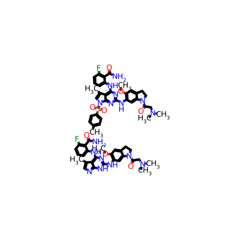 COc1cc2c(cc1Nc1nc(Nc3cccc(F)c3C(N)=O)c3c(C)cn(S(=O)(=O)c4ccc(C)cc4)c3n1)N(C(=O)CN(C)C)CC2.COc1cc2c(cc1Nc1nc(Nc3cccc(F)c3C(N)=O)c3c(C)cnc-3[nH]1)N(C(=O)CN(C)C)CC2